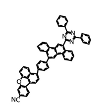 N#Cc1ccc2c(c1)Oc1cccc3c(-c4ccc(-c5cc6c7ccccc7c(-c7nc(-c8ccccc8)nc(-c8ccccc8)n7)cc6c6ccccc56)cc4)ccc-2c13